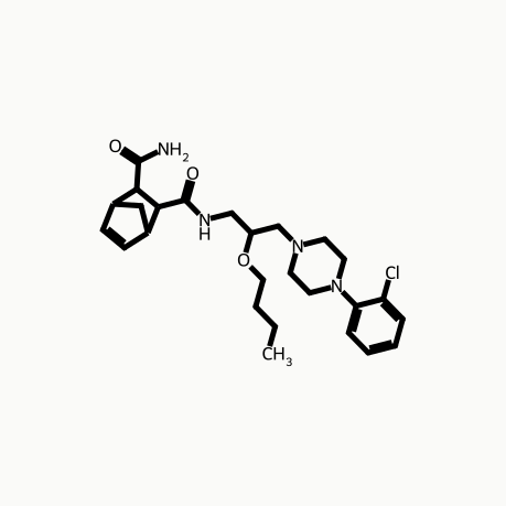 CCCCOC(CNC(=O)C1C2C=CC(C2)C1C(N)=O)CN1CCN(c2ccccc2Cl)CC1